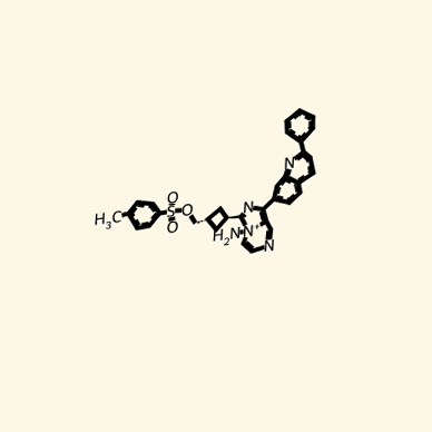 Cc1ccc(S(=O)(=O)OC[C@H]2C[C@H](C3=NC(c4ccc5ccc(-c6ccccc6)nc5c4)=C4C=NC=C[N+]43N)C2)cc1